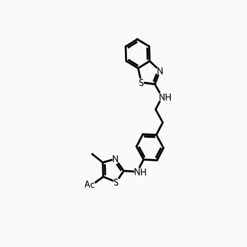 CC(=O)c1sc(Nc2ccc(CCNc3nc4ccccc4s3)cc2)nc1C